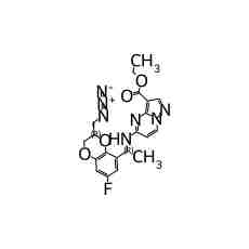 CCOC(=O)c1cnn2ccc(N[C@H](C)c3cc(F)cc4c3O[C@H](CN=[N+]=[N-])CO4)nc12